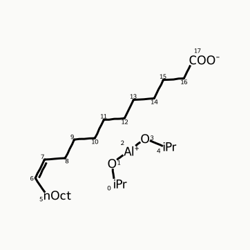 CC(C)[O][Al+][O]C(C)C.CCCCCCCC/C=C\CCCCCCCCCC(=O)[O-]